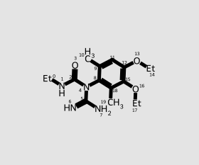 CCNC(=O)N(C(=N)N)c1c(C)cc(OCC)c(OCC)c1C